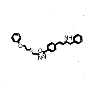 N[C@@H](C=Cc1ccc(-c2nnc(CSCCOc3ccccc3)o2)cc1)Cc1ccccc1